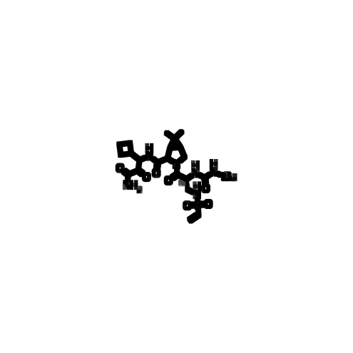 C=CS(=O)(=O)NC[C@H](NC(=O)NC(C)(C)C)C(=O)N1CC2C(C1C(=O)NC(C(=O)C(N)=O)C1CCC1)C2(C)C